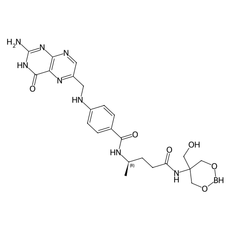 C[C@H](CCC(=O)NC1(CO)COBOC1)NC(=O)c1ccc(NCc2cnc3nc(N)[nH]c(=O)c3n2)cc1